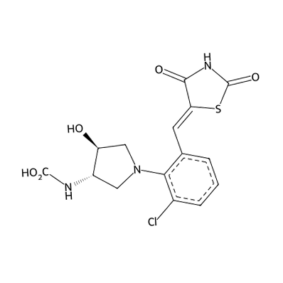 O=C(O)N[C@H]1CN(c2c(Cl)cccc2/C=C2\SC(=O)NC2=O)C[C@@H]1O